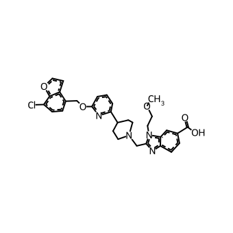 COCCn1c(CN2CCC(c3cccc(OCc4ccc(Cl)c5occc45)n3)CC2)nc2ccc(C(=O)O)cc21